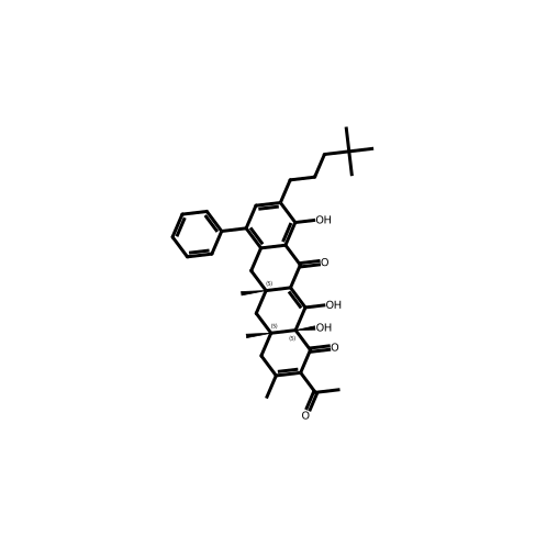 CC(=O)C1=C(C)C[C@]2(C)C[C@]3(C)Cc4c(-c5ccccc5)cc(CCCC(C)(C)C)c(O)c4C(=O)C3=C(O)[C@]2(O)C1=O